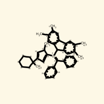 Cc1cc2c(cc1C)[CH]([Zr]([C]1=CC(C3(C)CCCCC3)=CC1C)=[C](c1ccccc1)c1ccccc1)c1cc(C)c(C)cc1-2